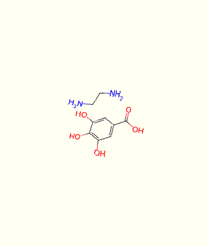 NCCN.O=C(O)c1cc(O)c(O)c(O)c1